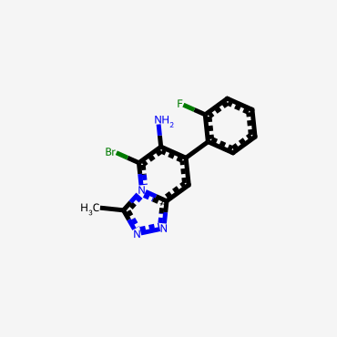 Cc1nnc2cc(-c3ccccc3F)c(N)c(Br)n12